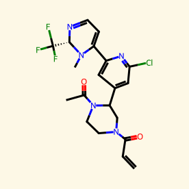 C=CC(=O)N1CCN(C(C)=O)C(c2cc(Cl)nc(C3=CC=N[C@@H](C(F)(F)F)N3C)c2)C1